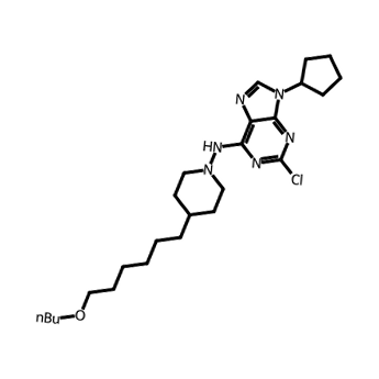 CCCCOCCCCCCC1CCN(Nc2nc(Cl)nc3c2ncn3C2CCCC2)CC1